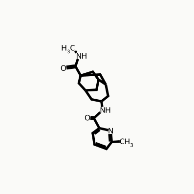 CNC(=O)C12CC3CC(NC(=O)c4cccc(C)n4)CC(C1)C(C3)C2